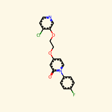 O=c1cc(OCCOc2cnccc2Cl)ccn1-c1ccc(F)cc1